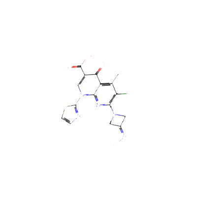 Cc1c(F)c(N2CC(=NO)C2)nc2c1c(=O)c(C(=O)O)cn2-c1nccs1